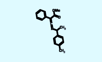 COC(=O)C(=C=NC(C)c1ccc(C)cc1)c1ccccc1